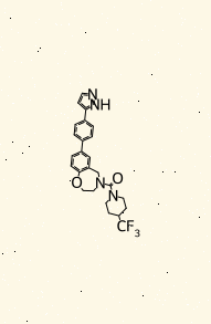 O=C(N1CCC(C(F)(F)F)CC1)N1CCOc2ccc(-c3ccc(-c4ccn[nH]4)cc3)cc2C1